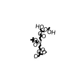 COCC(COC)OC(=O)CCN(CCC(=O)OC(CO)COC(C)O)C(=O)OC(C)(C)C